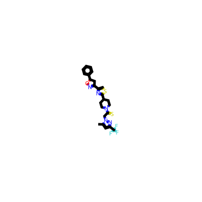 Cc1cc(C(F)(F)F)nn1CC(=S)N1CCC(c2nc(C3=NOC(c4ccccc4)C3)cs2)CC1